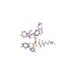 C#CCN1C(=O)COc2cc(F)c(N3C(=O)C4=C(CCCC4)C3=O)cc21.CCCCCCCCSC(=O)Oc1cc(Cl)nnc1-c1ccccc1